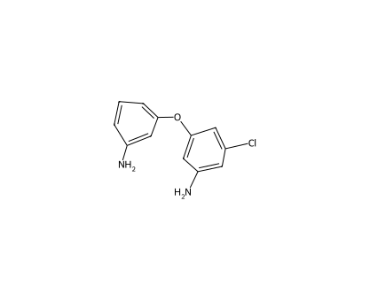 Nc1cccc(Oc2cc(N)cc(Cl)c2)c1